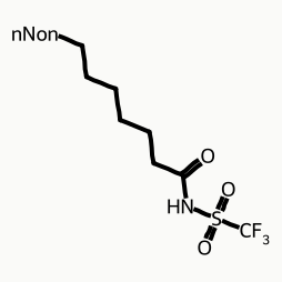 CCCCCCCCCCCCCCCC(=O)NS(=O)(=O)C(F)(F)F